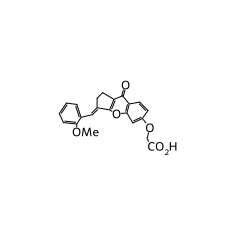 COc1ccccc1/C=C1\CCc2c1oc1cc(OCC(=O)O)ccc1c2=O